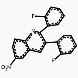 O=[N+]([O-])c1ccc2nc(-c3ccccc3F)c(-c3ccccc3F)cc2c1